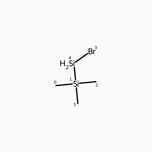 C[Si](C)(C)[SiH2]Br